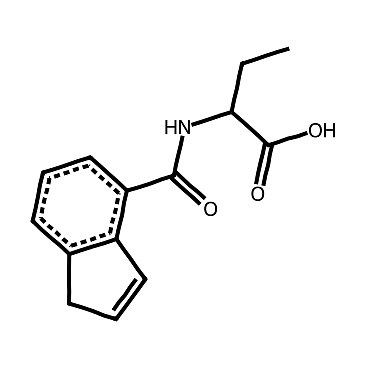 CCC(NC(=O)c1cccc2c1C=CC2)C(=O)O